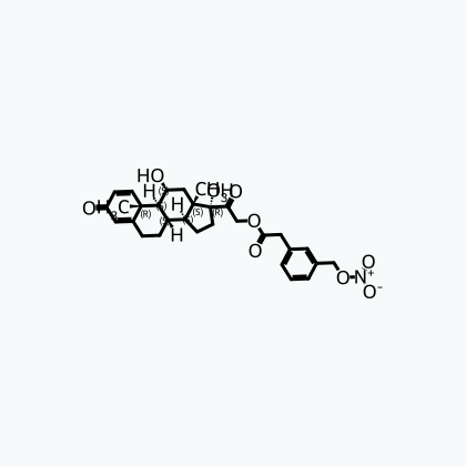 C[C@]12C=CC(=O)C=C1CC[C@@H]1[C@@H]2[C@@H](O)C[C@@]2(C)[C@H]1CC[C@]2(O)C(=O)COC(=O)Cc1cccc(CO[N+](=O)[O-])c1